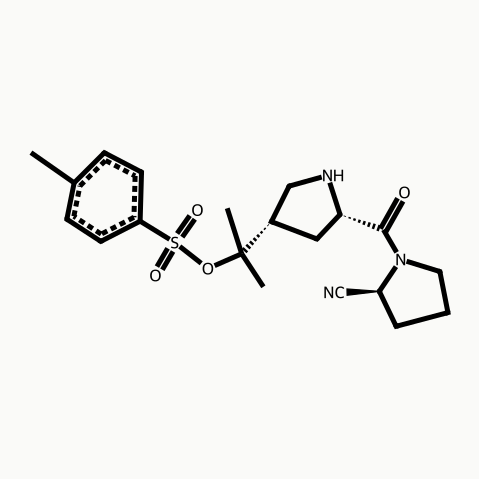 Cc1ccc(S(=O)(=O)OC(C)(C)[C@@H]2CN[C@H](C(=O)N3CCC[C@H]3C#N)C2)cc1